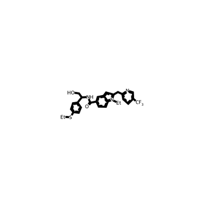 CCSc1ccc(C(CO)NC(=O)c2ccc3c(c2)cc(Cc2ccc(C(F)(F)F)cn2)n3CC)cc1